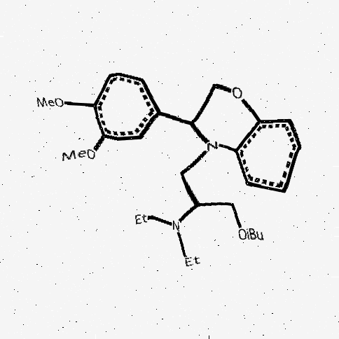 CCN(CC)C(COCC(C)C)CN1c2ccccc2OCC1c1ccc(OC)c(OC)c1